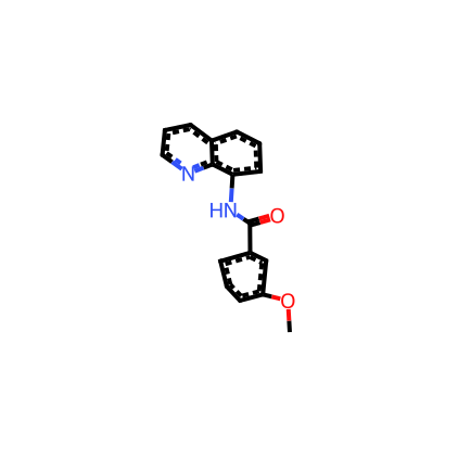 COc1cccc(C(=O)Nc2cccc3cccnc23)c1